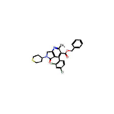 Cc1nc2c(c(-c3ccc(Cl)cc3Cl)c1C(=O)OCc1ccccc1)C(=O)N(C1CCSCC1)C2